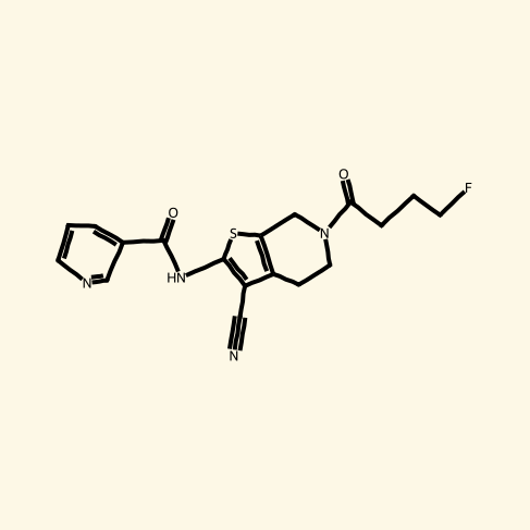 N#Cc1c(NC(=O)c2cccnc2)sc2c1CCN(C(=O)CCCF)C2